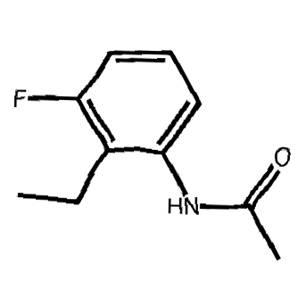 CCc1c(F)cccc1NC(C)=O